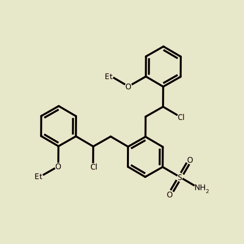 CCOc1ccccc1C(Cl)Cc1ccc(S(N)(=O)=O)cc1CC(Cl)c1ccccc1OCC